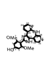 COc1cc(O)cc(OC)c1-c1nc2c([nH]1)-c1ccncc1Nc1ncccc1-2